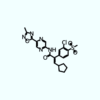 Cc1noc(-c2cnc(NC(=O)/C(=C/C3CCCC3)c3ccc(S(C)(=O)=O)c(Cl)c3)cn2)n1